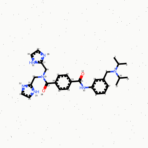 CC(C)N(Cc1cccc(NC(=O)c2ccc(C(=O)N(Cc3ncc[nH]3)Cc3ncc[nH]3)cc2)c1)C(C)C